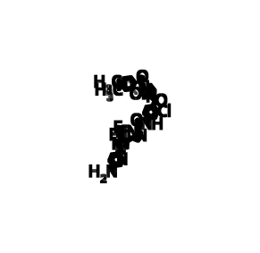 C[N+]1(C)CC[C@@H](C(=O)N2CCN(C(=O)c3ccc(NC(=O)c4ncc(-c5cn(-c6ccc(N)cn6)nc5C(F)(F)F)[nH]4)cc3Cl)CC2)[C@H](O)C1